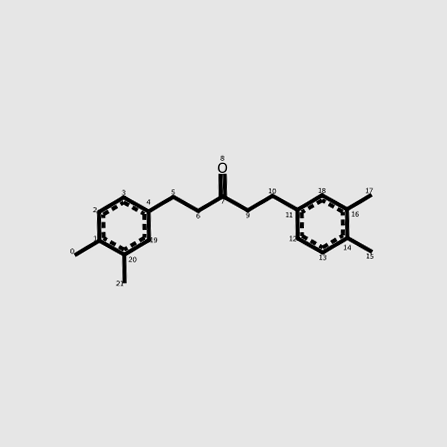 Cc1ccc(CCC(=O)CCc2ccc(C)c(C)c2)cc1C